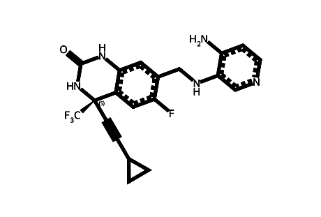 Nc1ccncc1NCc1cc2c(cc1F)[C@@](C#CC1CC1)(C(F)(F)F)NC(=O)N2